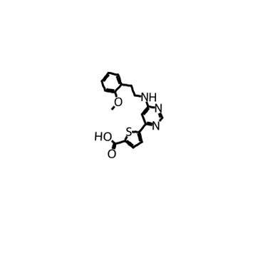 COc1ccccc1CCNc1cc(-c2ccc(C(=O)O)s2)ncn1